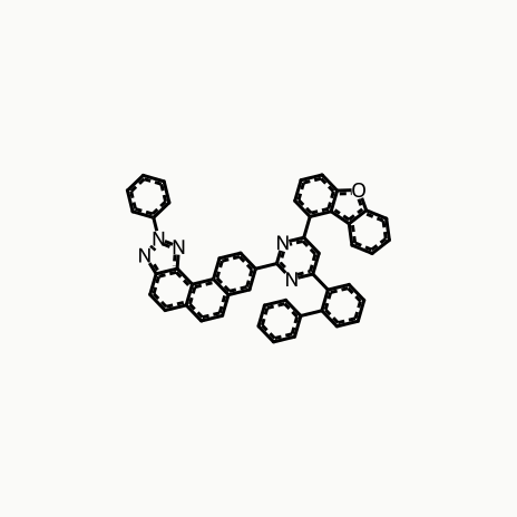 c1ccc(-c2ccccc2-c2cc(-c3cccc4oc5ccccc5c34)nc(-c3ccc4c(ccc5ccc6nn(-c7ccccc7)nc6c54)c3)n2)cc1